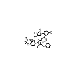 CC1(C)Oc2ccc(NC(=O)[C@H](Cc3ccccc3)n3cnc(-c4cc(Cl)ccc4N4C=C(Cl)NN4)cc3=O)nc2NC1=O